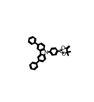 C=C1OB(c2ccc(-n3c4ccc(-c5ccccc5)cc4c4cc(-c5ccccc5)ccc43)cc2)OC1(C)C